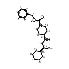 O=C(OCc1ccccc1)N1CCC(NCC(F)=C2CCCCC2)CC1